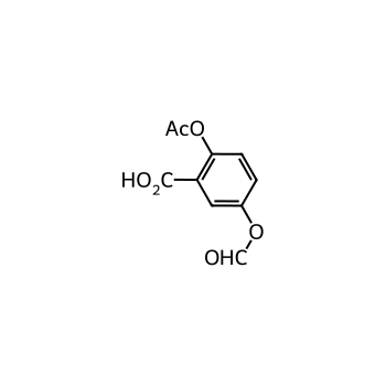 CC(=O)Oc1ccc(OC=O)cc1C(=O)O